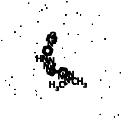 CCn1c(C)nc2ccc(-c3ccn4nc(N[C@H]5CC[C@@H](N6CCOCC6)CC5)ncc34)nc21